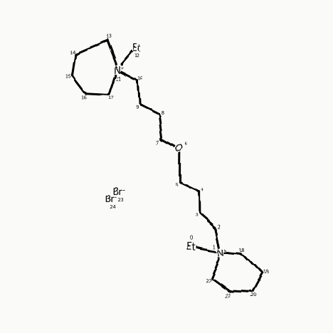 CC[N+]1(CCCCOCCCC[N+]2(CC)CCCCC2)CCCCC1.[Br-].[Br-]